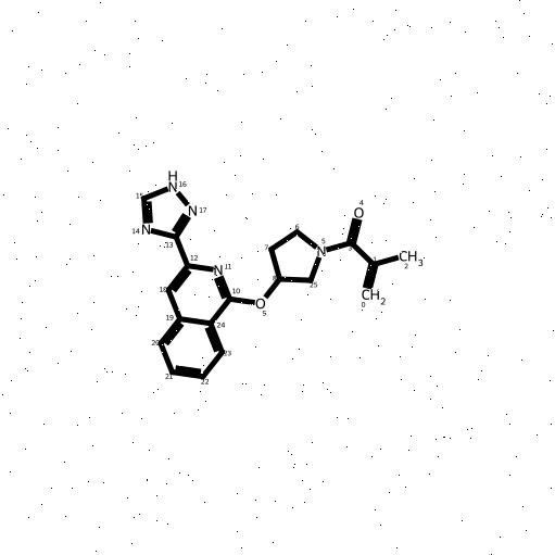 C=C(C)C(=O)N1CCC(Oc2nc(-c3nc[nH]n3)cc3ccccc23)C1